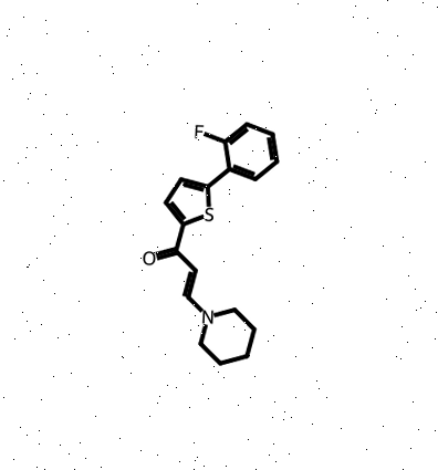 O=C(C=CN1CCCCC1)c1ccc(-c2ccccc2F)s1